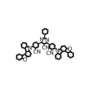 N#Cc1cc(-c2nc(-c3ccccc3)nc(-c3ccc(-n4c5ccccc5c5c6c(ccc54)oc4ccccc46)c(C#N)c3)c2C#N)ccc1-n1c2ccccc2c2c3c(ccc21)oc1ccccc13